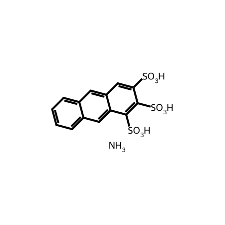 N.O=S(=O)(O)c1cc2cc3ccccc3cc2c(S(=O)(=O)O)c1S(=O)(=O)O